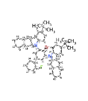 CC(C)(C)c1ccc2c(c1)c1cc3ccccc3cc1n2-c1cc(-c2ccccc2F)cc(-n2c3ccc(C(C)(C)C)cc3c3cc4ccccc4cc32)c1Br